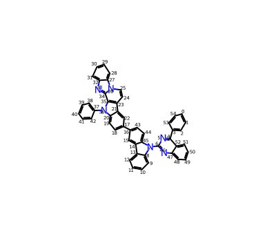 c1ccc(-c2nc(-n3c4ccccc4c4cc(-c5ccc6c(c5)c5ccn7c8ccccc8nc7c5n6-c5ccccc5)ccc43)nc3ccccc23)cc1